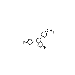 CN1CC=C(C2C=C(c3ccc(F)cc3)c3ccc(F)cc32)CC1